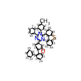 Cc1cccc(-c2ccccc2-c2nc(-c3ccc4c(c3)oc3cccc(-c5ccccc5)c34)nc(-c3cccc4sc5ccccc5c34)n2)c1